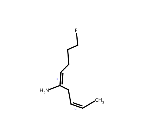 C/C=C\C/C(N)=C\CCCF